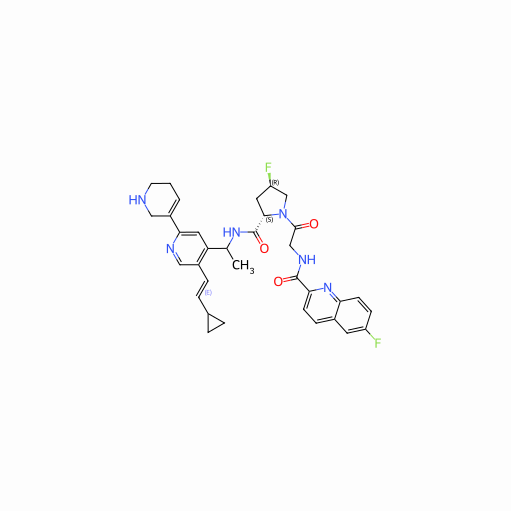 CC(NC(=O)[C@@H]1C[C@@H](F)CN1C(=O)CNC(=O)c1ccc2cc(F)ccc2n1)c1cc(C2=CCCNC2)ncc1/C=C/C1CC1